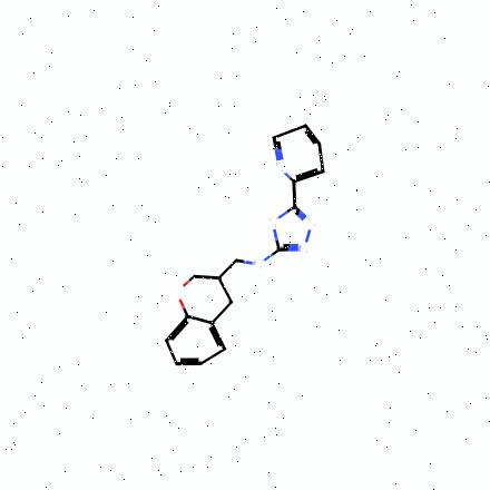 c1ccc(-c2nnc(NCC3COc4ccccc4C3)[nH]2)nc1